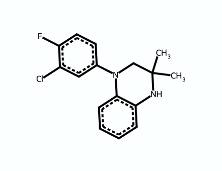 CC1(C)CN(c2ccc(F)c(Cl)c2)c2ccccc2N1